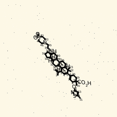 C=C(C)C1C=C(C2=CCC(COc3cc(C)sn3)(C(=O)O)CC2)C(C)(C)[C@@H]2CC[C@]3(C)[C@H](CC[C@@H]4[C@H]5CCC[C@]5(NCCN5CCS(=O)(=O)CC5)CC[C@]43C)[C@@]12C